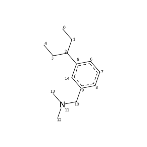 CCC(CC)c1cccc(CN(C)C)c1